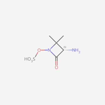 CC1(C)[C@H](N)C(=O)N1OS(=O)(=O)O